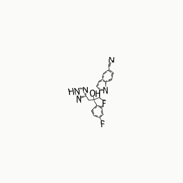 CC(c1ccc2cc(C#N)ccc2n1)C(O)(Cc1nc[nH]n1)c1ccc(F)cc1F